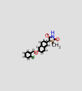 C=S1C(=O)NC(=O)C1c1ccc2cc(OCc3ccccc3F)ccc2c1